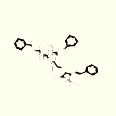 CC(=O)N1C(=O)[C@H](CCCNC(=NC(=O)OCc2ccccc2)NC(=O)OCc2ccccc2)[C@H]1C=Cc1ccccc1